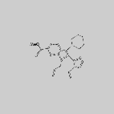 C=CCn1c(-c2sccc2C=C)c(C2CCCCC2)c2ccc(C(=O)OC)cc21